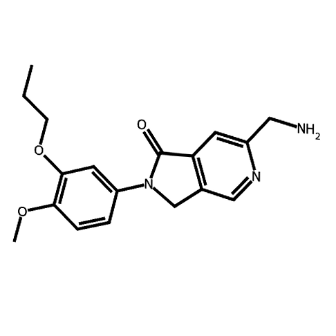 CCCOc1cc(N2Cc3cnc(CN)cc3C2=O)ccc1OC